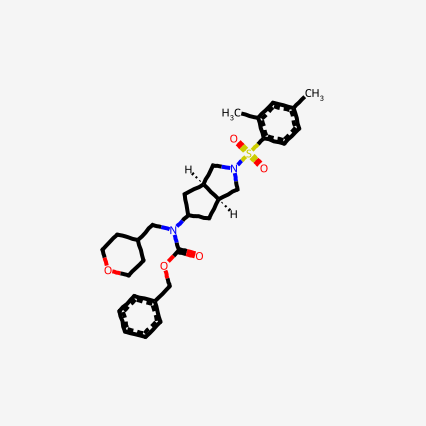 Cc1ccc(S(=O)(=O)N2C[C@H]3CC(N(CC4CCOCC4)C(=O)OCc4ccccc4)C[C@H]3C2)c(C)c1